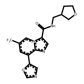 O=C(NCC1CCOC1)c1cnc2c(-c3cnco3)cc(C(F)(F)F)cn12